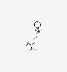 CN(C)P(CCCCOB1C2CCCC1CCC2)N(C)C